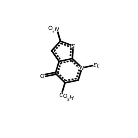 CCn1cc(C(=O)O)c(=O)c2cc([N+](=O)[O-])sc21